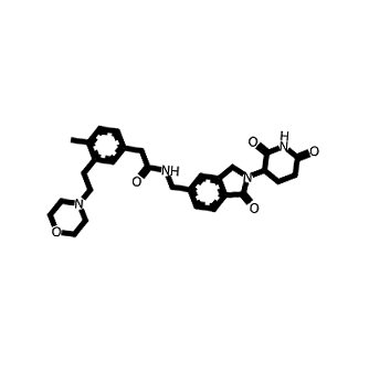 Cc1ccc(CC(=O)NCc2ccc3c(c2)CN(C2CCC(=O)NC2=O)C3=O)cc1CCN1CCOCC1